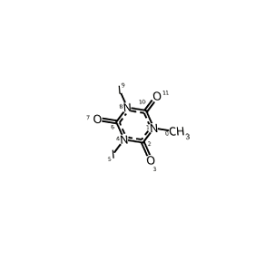 Cn1c(=O)n(I)c(=O)n(I)c1=O